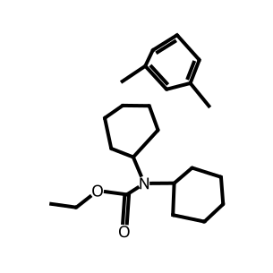 CCOC(=O)N(C1CCCCC1)C1CCCCC1.Cc1cccc(C)c1